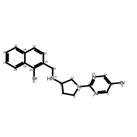 Brc1cnc(N2CCC(NCc3ccc4ccccc4c3Br)C2)nc1